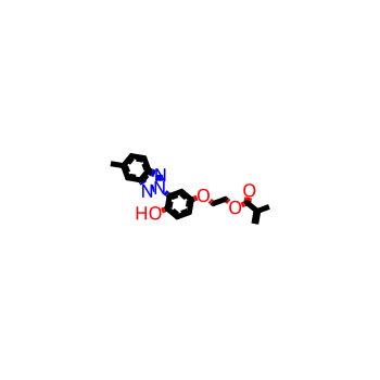 C=C(C)C(=O)OCCOc1ccc(O)c(-n2nc3ccc(C)cc3n2)c1